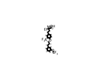 CCC(N)(CO)CCc1ccc(OCCCc2cccc(OC(F)(F)F)c2)c(C(F)(F)F)c1